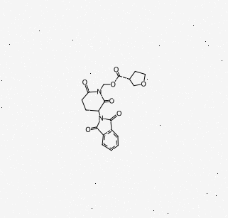 O=C(OCN1C(=O)CCC(N2C(=O)c3ccccc3C2=O)C1=O)C1CCOC1